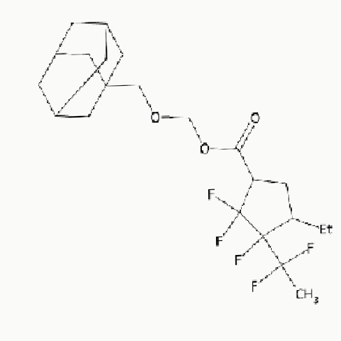 CCC1CC(C(=O)OCOCC23CC4CC(CC(C4)C2)C3)C(F)(F)C1(F)C(C)(F)F